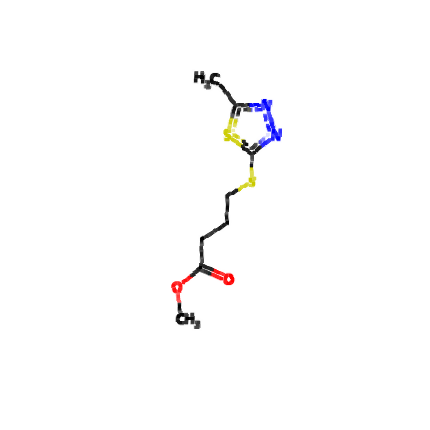 COC(=O)CCCSc1nnc(C)s1